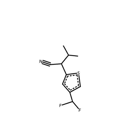 CC(C)C(C#N)c1cc(C(F)F)cs1